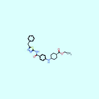 CCOC(=O)[C@H]1CC[C@@H](Nc2ccc(C(=O)Nc3nnc(Cc4ccccc4)s3)cc2)CC1